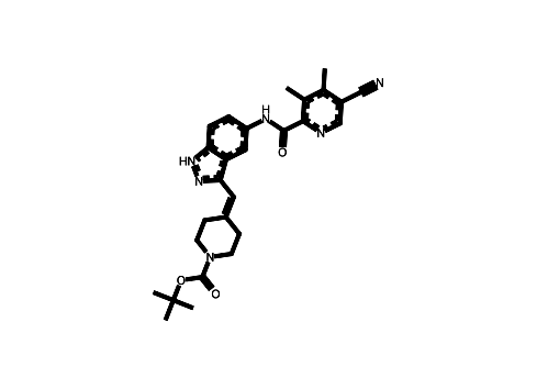 Cc1c(C#N)cnc(C(=O)Nc2ccc3[nH]nc(C=C4CCN(C(=O)OC(C)(C)C)CC4)c3c2)c1C